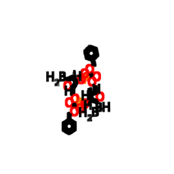 BB[C@@H]1O[C@@H]2COP(=O)(C(=O)OCc3ccccc3)O[C@H]3[C@@H](C)[C@H](B)O[C@@H]3COP(=O)(C(=O)OCc3ccccc3)O[C@@H]1[C@@H]2C